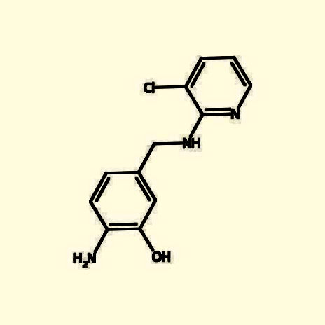 Nc1ccc(CNc2ncccc2Cl)cc1O